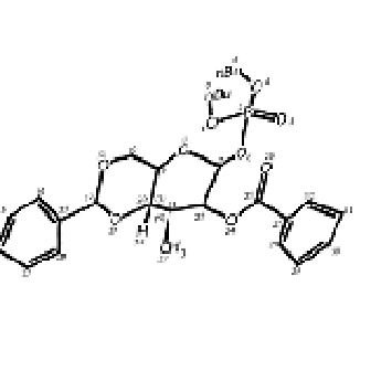 CCCCOP(=O)(OCCCC)OC1OC2COC(c3ccccc3)O[C@H]2[C@H](C)C1OC(=O)c1ccccc1